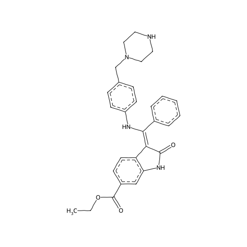 CCOC(=O)c1ccc2c(c1)NC(=O)C2=C(Nc1ccc(CN2CCNCC2)cc1)c1ccccc1